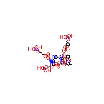 COc1ccccc1Oc1c(OCCOC(=O)Oc2cccc(CON(O)O)c2)nc(-c2ccnc(-c3nnnn3COC(=O)OCCCCCON(O)O)c2)nc1N(C(C)OC(=O)OCCOCCON(O)O)S(=O)(=O)c1ccc(C)cn1